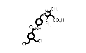 Cc1nn(Cc2ccc(NC(=O)c3ccc(CCl)c(CCl)c3)cc2)c(C)c1CC(=O)O